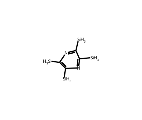 [SiH3]c1nc([SiH3])c([SiH3])nc1[SiH3]